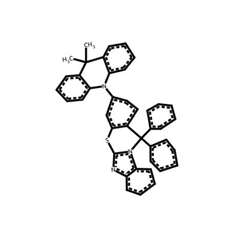 CC1(C)c2ccccc2N(c2ccc3c(c2)Sc2nc4ccccc4n2C3(c2ccccc2)c2ccccc2)c2ccccc21